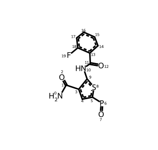 NC(=O)c1cc(P=O)sc1NC(=O)c1ccccc1F